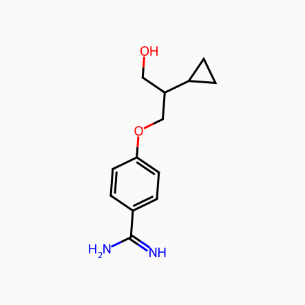 N=C(N)c1ccc(OCC(CO)C2CC2)cc1